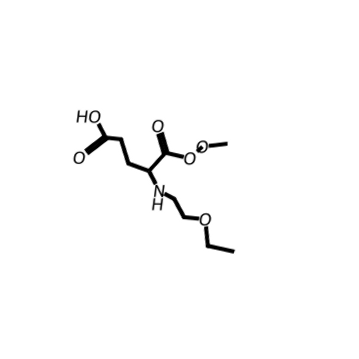 CCOCCNC(CCC(=O)O)C(=O)OOC